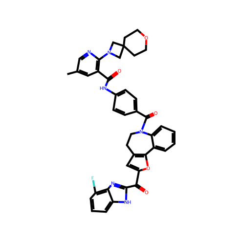 Cc1cnc(N2CC3(CCOCC3)C2)c(C(=O)Nc2ccc(C(=O)N3CCc4cc(C(=O)c5nc6c(F)cccc6[nH]5)oc4-c4ccccc43)cc2)c1